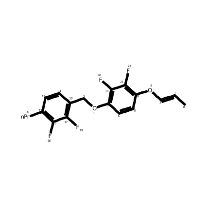 C/C=C/Oc1ccc(OCc2ccc(CCC)c(F)c2F)c(F)c1F